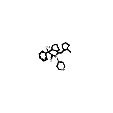 CC1CCCC1CCN(C(=O)C(O)(c1ccccc1)C1CCCC1)C1CCNCC1